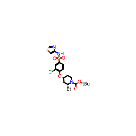 CC[C@H]1C[C@H](Oc2ccc(S(=O)(=O)Nc3cscn3)cc2Cl)CCN1C(=O)OC(C)(C)C